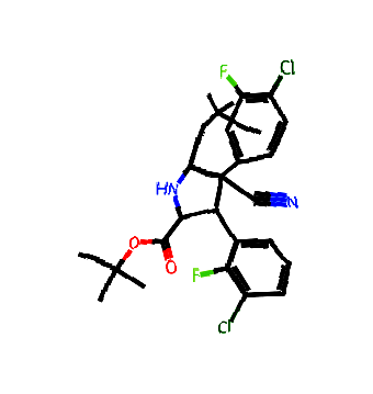 CC(C)(C)CC1NC(C(=O)OC(C)(C)C)C(c2cccc(Cl)c2F)C1(C#N)c1ccc(Cl)c(F)c1